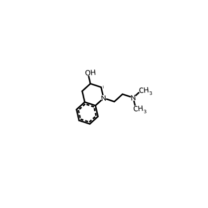 CN(C)CCN1[C]C(O)Cc2ccccc21